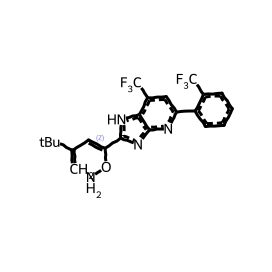 C=C(/C=C(\ON)c1nc2nc(-c3ccccc3C(F)(F)F)cc(C(F)(F)F)c2[nH]1)C(C)(C)C